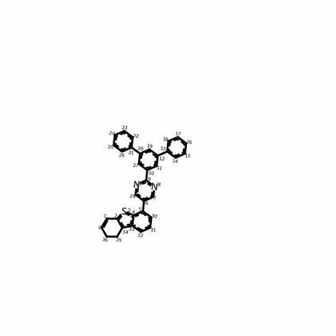 C1=Cc2sc3c(-c4cnc(-c5cc(-c6ccccc6)cc(-c6ccccc6)c5)nc4)cccc3c2CC1